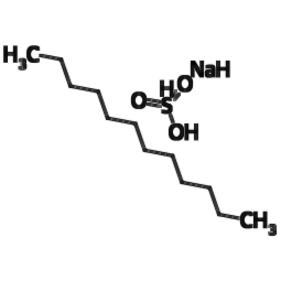 CCCCCCCCCCCC.O=[SH](=O)O.[NaH]